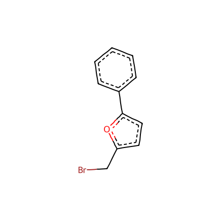 BrCc1ccc(-c2ccccc2)o1